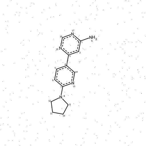 Nc1cc(-c2ccc(N3CCCC3)nc2)ncn1